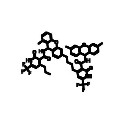 CCCc1cc(C(F)(F)F)[nH]c(=O)c1C(=O)NC1c2ccc(CCCCc3cc(C(F)(F)F)[nH]c(=O)c3C(=O)NC3c4ccc(C)cc4Oc4cc(C)ccc43)cc2Oc2cccc(C)c21